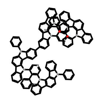 N#Cc1ccccc1-c1c(-n2c3ccccc3c3ccc4c(c5ccccc5n4-c4ccccc4)c32)cncc1-n1c2ccccc2c2ccc3c(c4ccc(-c5ccc6c(c5)c5ccc7c8ccccc8n(-c8ccccc8)c7c5n6-c5cncc(-n6c7ccccc7c7ccc8c9ccccc9n(-c9ccccc9)c8c76)c5-c5ccccc5C#N)cc4n3-c3ccccc3)c21